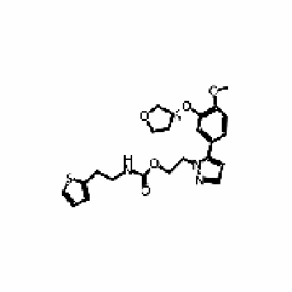 COc1ccc(-c2ccnn2CCOC(=O)NCCc2cccs2)cc1O[C@@H]1CCOC1